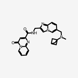 CN(Cc1ccc2nc(CNC(=O)c3cc(=O)n4ccccc4n3)cn2c1)C12CC(C1)C2